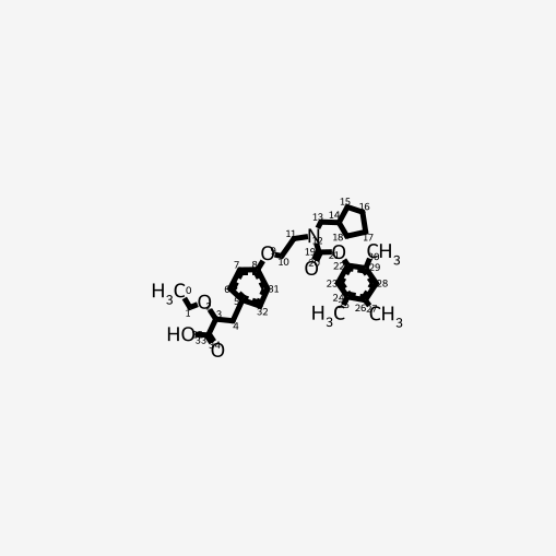 CCOC(Cc1ccc(OCCN(CC2CCCC2)C(=O)Oc2cc(C)c(C)cc2C)cc1)C(=O)O